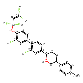 CCCc1ccc(C2CCC(c3ccc(-c4ccc(OC(F)(F)C=C(F)F)c(F)c4)c(F)c3)OC2)cc1